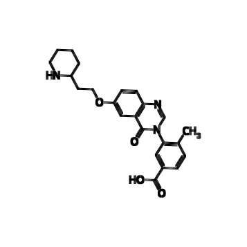 Cc1ccc(C(=O)O)cc1-n1cnc2ccc(OCCC3CCCCN3)cc2c1=O